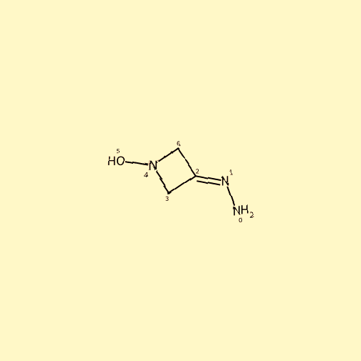 NN=C1CN(O)C1